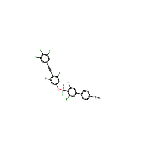 CCCCCCc1ccc(-c2cc(F)c(C(F)(F)Oc3cc(F)c(C#Cc4cc(F)c(F)c(F)c4)c(F)c3)c(F)c2)cc1